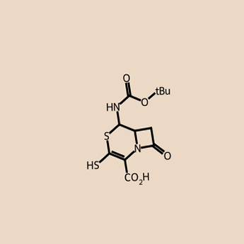 CC(C)(C)OC(=O)NC1SC(S)=C(C(=O)O)N2C(=O)CC12